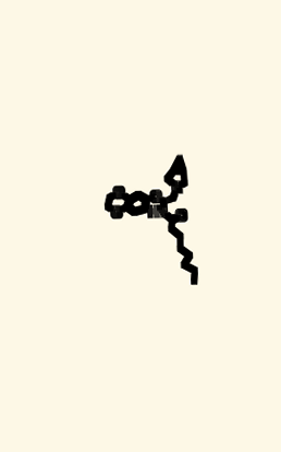 CCCCCCCC(=O)N[C@H](CN1CC2CC2C1)Oc1ccc2c(c1)OCCO2